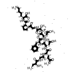 CC[C@H](N)C(=O)NCC(=O)N[C@@H](CCC(N)=O)C(=O)N[C@@H](CC(=O)O)C(=O)N[C@@H](Cc1ccccc1)C(=O)N[C@@H](CC(C)C)C(=O)N[C@@H](C)C(=O)NCC(=O)N1CCC[C@H]1C(=O)N[C@@H](CCCCN)C(=O)O